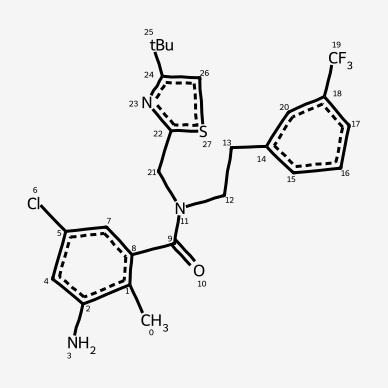 Cc1c(N)cc(Cl)cc1C(=O)N(CCc1cccc(C(F)(F)F)c1)Cc1nc(C(C)(C)C)cs1